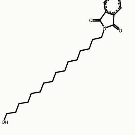 O=C1c2ccccc2C(=O)N1CCCCCCCCCCCCCCCCO